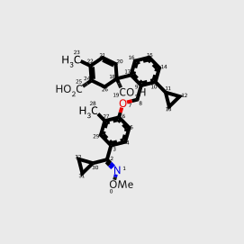 CON=C(c1ccc(OCc2c(C3CC3)cccc2C2(C(=O)O)C=CC(C)=C(C(=O)O)C2)c(C)c1)C1CC1